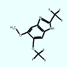 COc1cc2nc(C(F)(F)F)[nH]c2cc1OC(F)(F)F